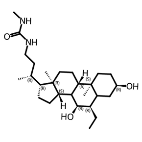 CC[C@@H]1C2C[C@H](O)CC[C@]2(C)[C@H]2CC[C@]3(C)[C@@H]([C@H](C)CCNC(=O)NC)CC[C@H]3C2[C@@H]1O